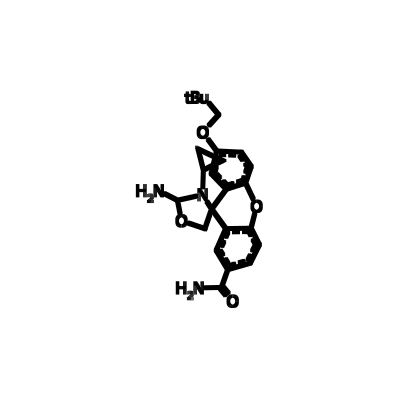 CC(C)(C)COc1ccc2c(c1)C1(COC(N)N1C1CC1)c1cc(C(N)=O)ccc1O2